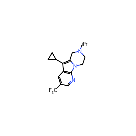 CC(C)N1CCn2c(c(C3CC3)c3cc(C(F)(F)F)cnc32)C1